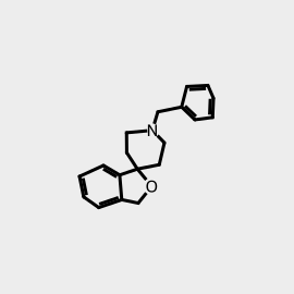 c1ccc(CN2CCC3(CC2)OCc2ccccc23)cc1